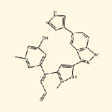 C=C/C=C(/c1cc(O)cc(F)c1)c1cc(-c2n[nH]c3ccc(-c4cn[nH]c4)cc23)[nH]c1C